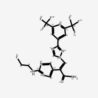 NC(=O)/C(=C/n1cnc(-c2cc(C(F)(F)F)nc(C(F)(F)F)c2)n1)c1cnc(NCCF)nc1